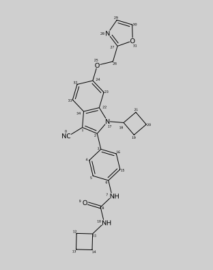 N#Cc1c(-c2ccc(NC(=O)NC3CCC3)cc2)n(C2CCC2)c2cc(OCc3ncco3)ccc12